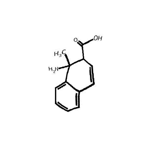 CC1(N)c2ccccc2C=CC1C(=O)O